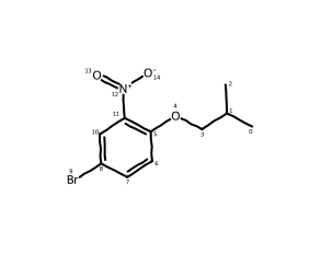 CC(C)COc1ccc(Br)cc1[N+](=O)[O-]